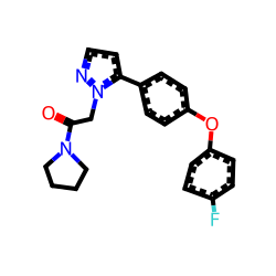 O=C(Cn1nccc1-c1ccc(Oc2ccc(F)cc2)cc1)N1CCCC1